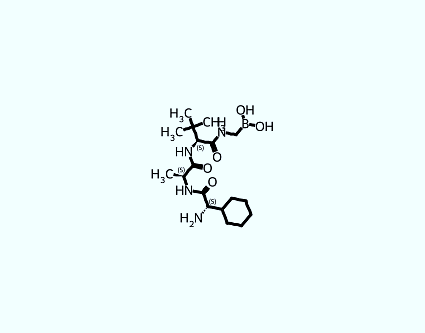 C[C@H](NC(=O)[C@@H](N)C1CCCCC1)C(=O)N[C@H](C(=O)NCB(O)O)C(C)(C)C